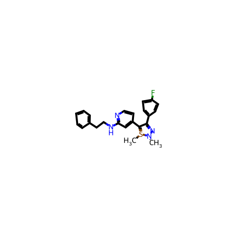 CN1N=C(c2ccc(F)cc2)C(c2ccnc(NCCc3ccccc3)c2)=S1C